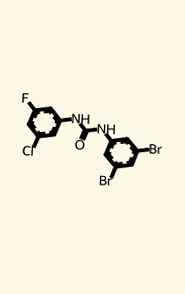 O=C(Nc1cc(F)cc(Cl)c1)Nc1cc(Br)cc(Br)c1